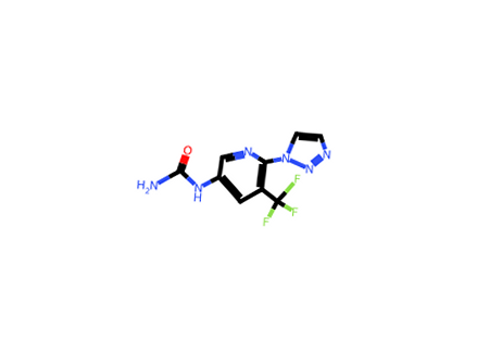 NC(=O)Nc1cnc(-n2ccnn2)c(C(F)(F)F)c1